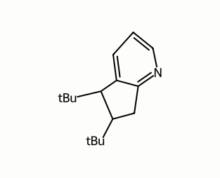 CC(C)(C)C1Cc2ncccc2C1C(C)(C)C